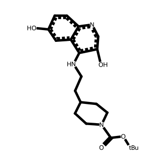 CC(C)(C)OC(=O)N1CCC(CCNc2c(O)cnc3ccc(O)cc23)CC1